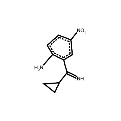 N=C(c1cc([N+](=O)[O-])ccc1N)C1CC1